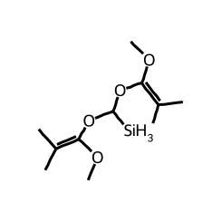 COC(OC([SiH3])OC(OC)=C(C)C)=C(C)C